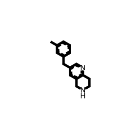 Cc1cccc(Cc2cnc3c(c2)CNCC3)c1